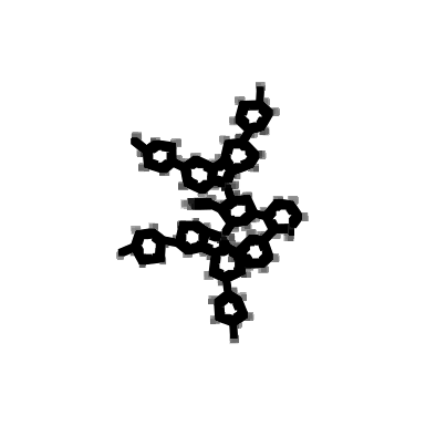 Cc1ccc(-c2ccc3c(c2)c2cc(-c4ccc(C)cc4)ccc2n3-c2cc(-c3cccnc3-c3ccccc3)cc(-n3c4ccc(-c5ccc(C)cc5)cc4c4cc(-c5ccc(C)cc5)ccc43)c2C#N)cc1